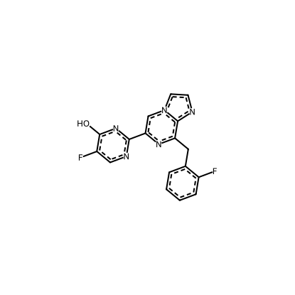 Oc1nc(-c2cn3ccnc3c(Cc3ccccc3F)n2)ncc1F